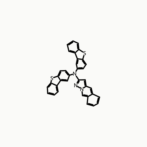 c1ccc2cn3nc(N(c4ccc5sc6ccccc6c5c4)c4ccc5sc6ccccc6c5c4)cc3cc2c1